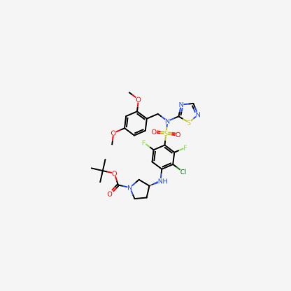 COc1ccc(CN(c2ncns2)S(=O)(=O)c2c(F)cc(N[C@H]3CCN(C(=O)OC(C)(C)C)C3)c(Cl)c2F)c(OC)c1